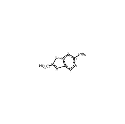 CCCCc1ccc2c(c1)CC(C(=O)O)=C2